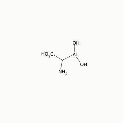 N[CH](C(=O)O)[Al]([OH])[OH]